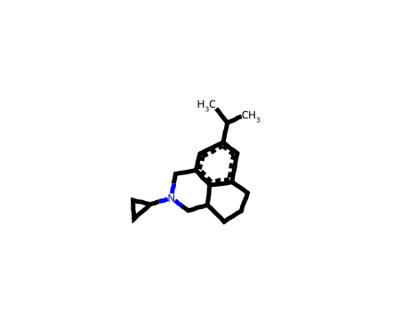 CC(C)c1cc2c3c(c1)CN(C1CC1)CC3CCC2